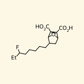 CCC(F)CCCCCC1CC2OC1C(C(=O)O)=C2C(=O)O